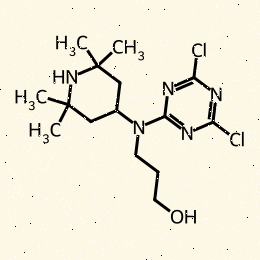 CC1(C)CC(N(CCCO)c2nc(Cl)nc(Cl)n2)CC(C)(C)N1